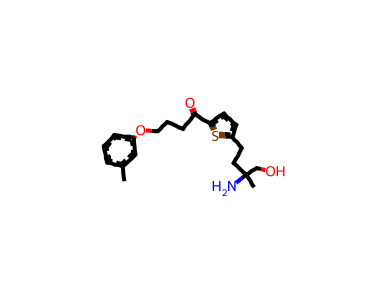 Cc1cccc(OCCCC(=O)c2ccc(CCC(C)(N)CO)s2)c1